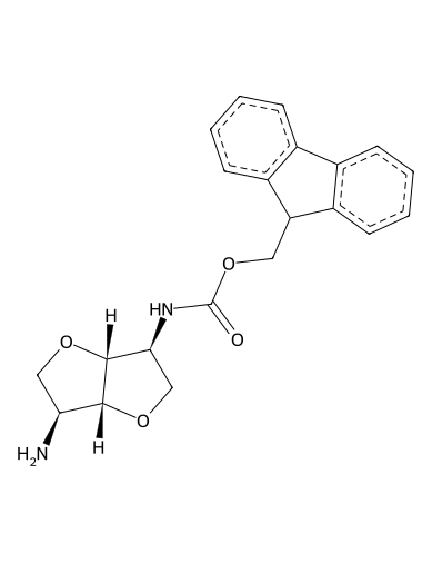 N[C@H]1CO[C@H]2[C@@H]1OC[C@@H]2NC(=O)OCC1c2ccccc2-c2ccccc21